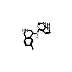 Fc1ccc2c(c1)C(Nc1ncnc3[nH]ccc13)CNC2